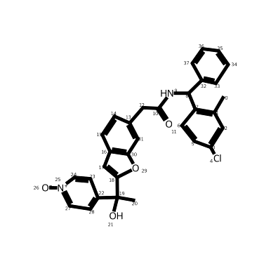 Cc1cc(Cl)ccc1C(NC(=O)Cc1ccc2cc(C(C)(O)c3cc[n+]([O-])cc3)oc2c1)c1ccccc1